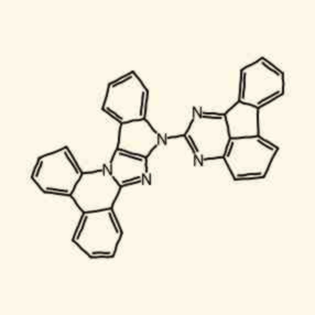 c1ccc2c(c1)-c1cccc3nc(-n4c5ccccc5c5c4nc4c6ccccc6c6ccccc6n45)nc-2c13